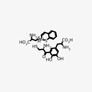 C1=Cc2ccccc2SN1.NC(CS)C(=O)O.NC(Cc1cc(O)c(O)c(C(=O)[C@H](N)CS)c1)C(=O)O